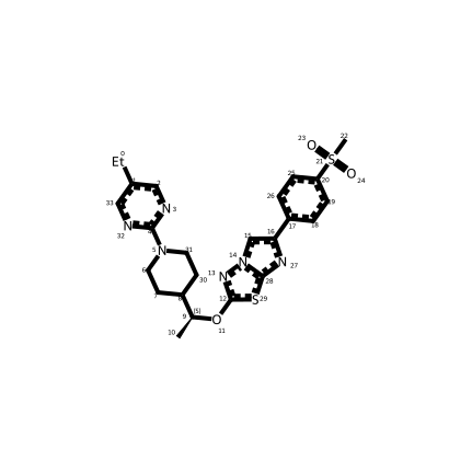 CCc1cnc(N2CCC([C@H](C)Oc3nn4cc(-c5ccc(S(C)(=O)=O)cc5)nc4s3)CC2)nc1